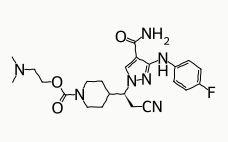 CN(C)CCOC(=O)N1CCC([C@H](CC#N)n2cc(C(N)=O)c(Nc3ccc(F)cc3)n2)CC1